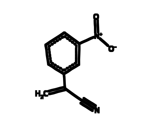 C=C(C#N)c1cccc([N+](=O)[O-])c1